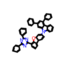 C1=CC2c3cccc(-c4nc(-c5ccccc5)nc(-c5ccccc5)n4)c3OC2C=C1n1c2ccccc2c2c(-c3ccccc3)cc(-c3ccccc3)cc21